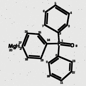 O=P(c1ccccc1)(c1ccccc1)c1ccccc1.[MgH2]